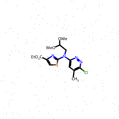 CCOC(=O)c1csc(N(CC(OC)OC)c2cc(C)c(Cl)nn2)n1